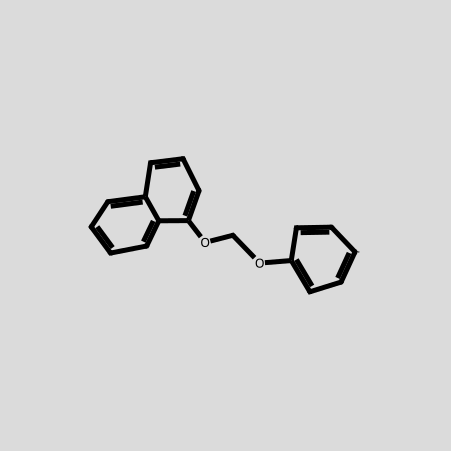 [c]1ccc(OCOc2cccc3ccccc23)cc1